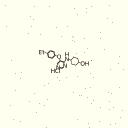 CCc1ccc(Oc2cncnc2NC2CCC(O)CC2)cc1.Cl